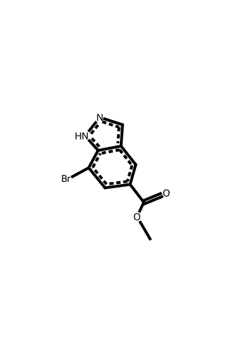 COC(=O)c1cc(Br)c2[nH]ncc2c1